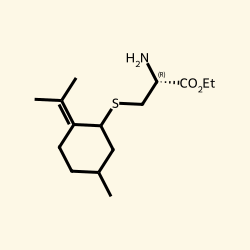 CCOC(=O)[C@@H](N)CSC1CC(C)CCC1=C(C)C